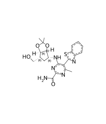 Cc1nc(C(N)=O)nc(N[C@@H]2C[C@H](CO)[C@H]3OC(C)(C)O[C@H]32)c1-c1nc2ccccc2s1